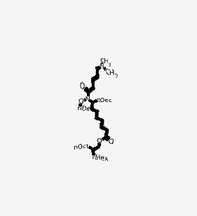 CCCCCCCCCCON(C(=O)CCCCN(C)C)C(CCCCCCCCCC)CCCCCCC(=O)OCC(CCCCCC)CCCCCCCC